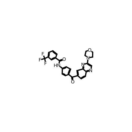 O=C(Nc1ccc(C(=O)c2ccc3ncc(N4CCOCC4)nc3c2)cc1)c1cccc(C(F)(F)F)c1